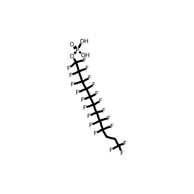 O=P(O)(O)OC(F)(F)C(F)(F)C(F)(F)C(F)(F)C(F)(F)C(F)(F)C(F)(F)C(F)(F)C(F)(F)CCC(F)(F)F